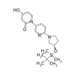 CC(C)(C)[Si](C)(C)O[C@@H]1CCN(c2ccc(-n3ccc(O)cc3=O)cn2)C1